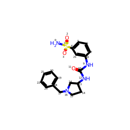 NS(=O)(=O)c1cccc(NC(=O)NC2CCN(Cc3ccccc3)C2)c1